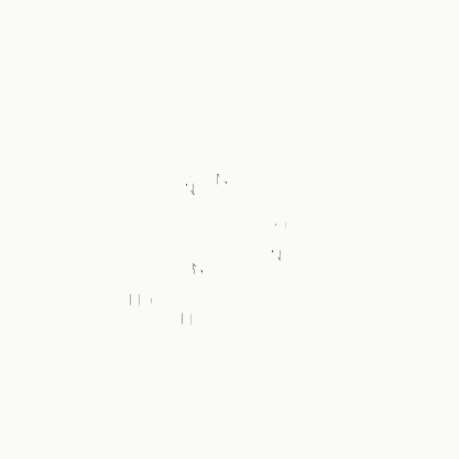 CC1(C)c2ccccc2N(c2cc(-c3nc4ccccc4o3)cc(-c3nc4ccccc4n3-c3ccccc3)c2)c2ccccc21